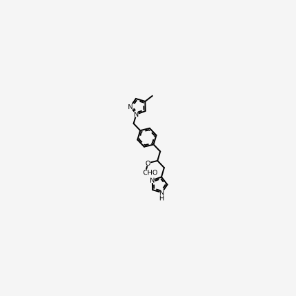 Cc1cnn(Cc2ccc(CC(Cc3c[nH]cn3)OC=O)cc2)c1